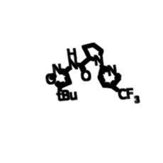 CC(C)(C)c1cc(NC(=O)C2CCCN2c2ccc(C(F)(F)F)cn2)no1